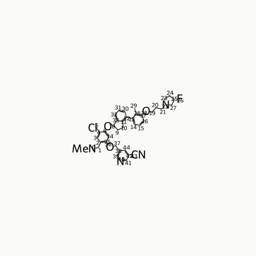 CNCc1cc(Cl)c(O[C@H]2CCc3c(-c4cccc(OCCCN5CC[C@H](F)C5)c4C)cccc32)cc1OCc1cncc(C#N)c1